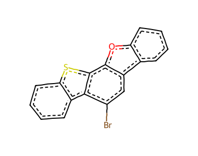 Brc1cc2c3ccccc3oc2c2sc3ccccc3c12